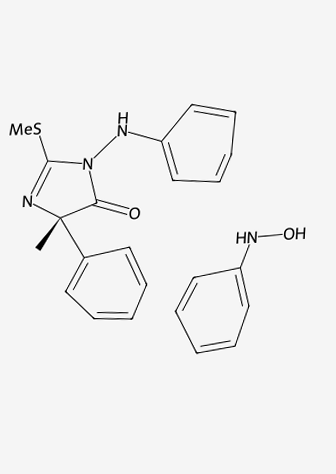 CSC1=N[C@@](C)(c2ccccc2)C(=O)N1Nc1ccccc1.ONc1ccccc1